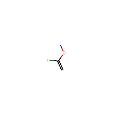 C=C(F)OI